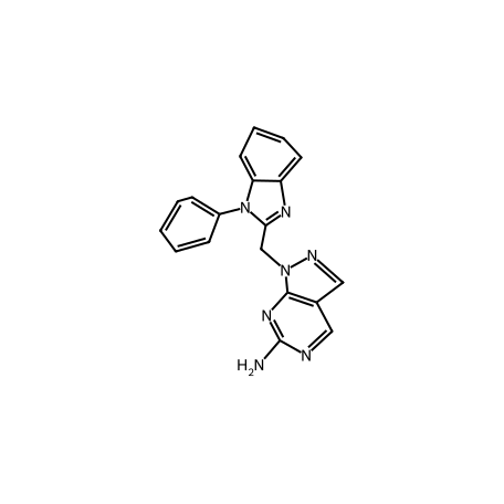 Nc1ncc2cnn(Cc3nc4ccccc4n3-c3ccccc3)c2n1